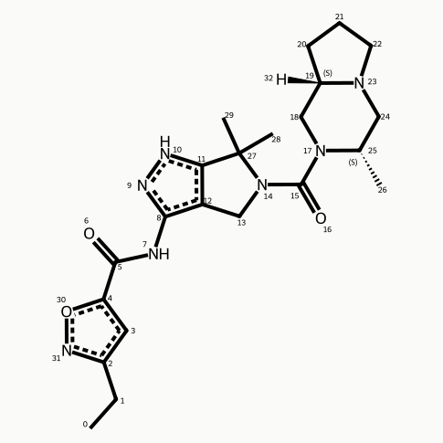 CCc1cc(C(=O)Nc2n[nH]c3c2CN(C(=O)N2C[C@@H]4CCCN4C[C@@H]2C)C3(C)C)on1